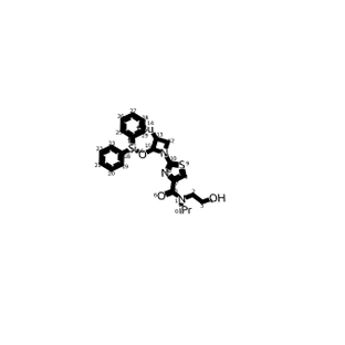 CC(C)N(CCO)C(=O)c1csc(N2CC(C(C)(C)C)C2O[SiH](c2ccccc2)c2ccccc2)n1